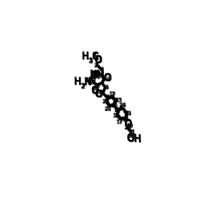 COCCNC(=O)C(CC(=O)c1ccc(-c2ccc(OCCO)cc2)cc1)C(=O)N(N)O